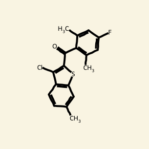 Cc1ccc2c(Cl)c(C(=O)c3c(C)cc(F)cc3C)sc2c1